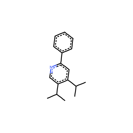 CC(C)c1cnc(-c2ccccc2)cc1C(C)C